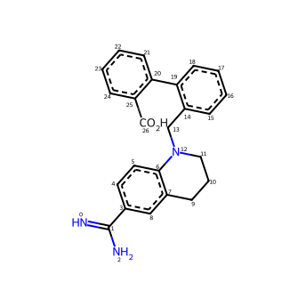 N=C(N)c1ccc2c(c1)CCCN2Cc1ccccc1-c1ccccc1C(=O)O